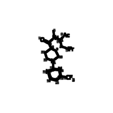 CC(=O)[C@@H](CC(C)C)N(C)C(=O)C1CCN(c2nccc(C(F)(F)F)n2)CC1